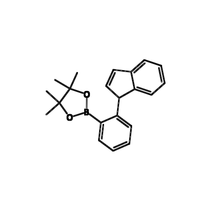 CC1(C)OB(c2ccccc2C2C=Cc3ccccc32)OC1(C)C